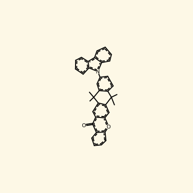 CC1(C)c2ccc(-n3c4ccccc4c4ccccc43)cc2C(C)(C)c2cc3c(=O)c4ccccc4oc3cc21